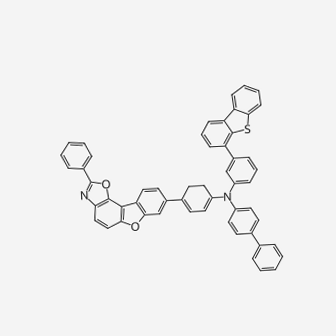 C1=C(c2ccc3c(c2)oc2ccc4nc(-c5ccccc5)oc4c23)CCC(N(c2ccc(-c3ccccc3)cc2)c2cccc(-c3cccc4c3sc3ccccc34)c2)=C1